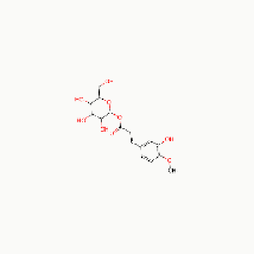 COc1ccc(/C=C/C(=O)OC2OC(CO)C(O)C(O)C2O)cc1O